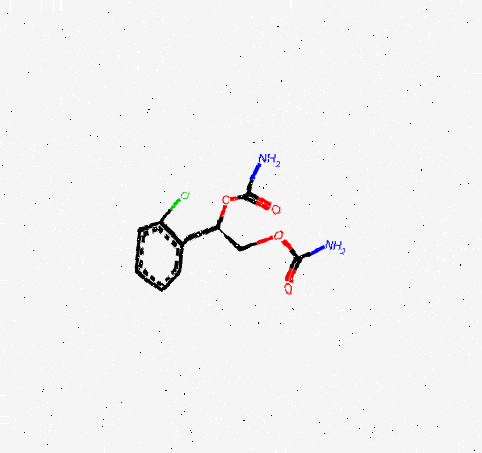 NC(=O)OC[C@H](OC(N)=O)c1ccccc1Cl